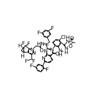 CNc1c(-n2c([C@H](Cc3cc(F)cc(F)c3)NC(=O)Cn3nc(C(F)F)c4c3C(F)(F)[C@@H]3C[C@H]43)nc3nc(-c4cc(F)ccc4F)ccc3c2=O)ccc(Cl)c1C(=N)NS(C)(=O)=O